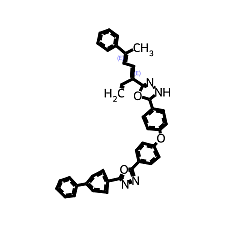 C=C/C(=C\C=C(/C)c1ccccc1)C1=NNC(c2ccc(Oc3ccc(-c4nnc(-c5ccc(-c6ccccc6)cc5)o4)cc3)cc2)O1